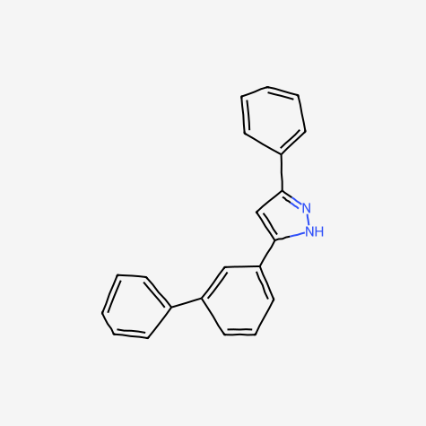 c1ccc(-c2cccc(-c3cc(-c4ccccc4)n[nH]3)c2)cc1